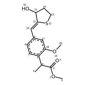 COC(=O)C(C)c1ccc(/C=C2\SCCC2O)cc1OC